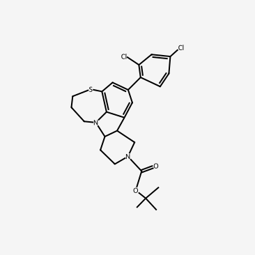 CC(C)(C)OC(=O)N1CCC2C(C1)c1cc(-c3ccc(Cl)cc3Cl)cc3c1N2CCCS3